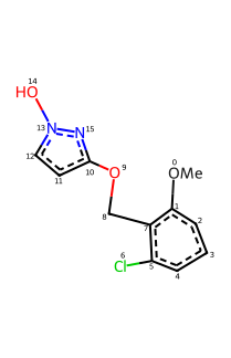 COc1cccc(Cl)c1COc1ccn(O)n1